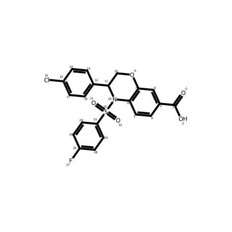 O=C(O)c1ccc2c(c1)OCC(c1ccc(Cl)cc1)N2S(=O)(=O)c1ccc(F)cc1